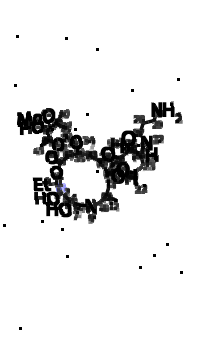 CC/C1=C(\O)[C@H](O)[C@@H](C)N(C)C[C@H](C)C[C@@](C)(O)[C@H](O[C@@H]2O[C@H](C)C[C@H]3[C@H]2OC(CCN)N3C)[C@@H](C)[C@H](O[C@H]2C[C@@](C)(OC)[C@@H](O)[C@H](C)O2)[C@@H](C)C(=O)O1